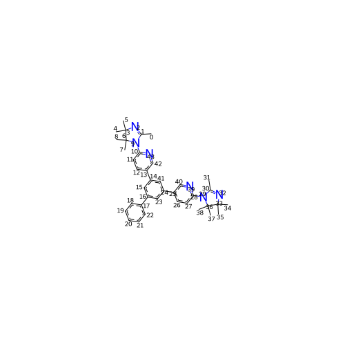 CC1=NC(C)(C)C(C)(C)N1c1ccc(-c2cc(-c3ccccc3)cc(-c3ccc(N4C(C)=NC(C)(C)C4(C)C)nc3)c2)cn1